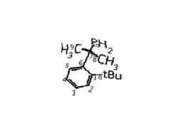 CC(C)(C)c1ccccc1C(C)(C)P